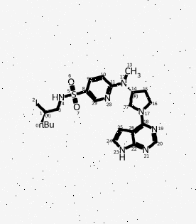 CCCC[C@@H](I)CNS(=O)(=O)c1ccc(N(C)[C@@H]2CCN(c3ncnc4[nH]ccc34)C2)nc1